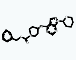 O=C(OCc1ccccc1)N1CCC(Nc2ncnc3c2cnn3C2CCCCO2)CC1